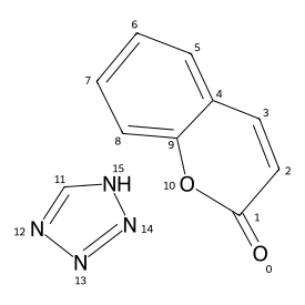 O=c1ccc2ccccc2o1.c1nnn[nH]1